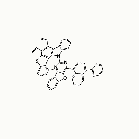 C=Cc1c(C=C)c2c3ccccc3n(-c3nc(-c4ccc(-c5ccccc5)c5ccccc45)c4oc5ccccc5c4n3)c2c2c1sc1cccc(C)c12